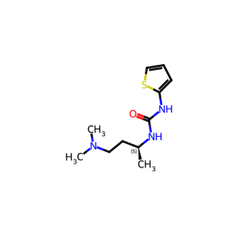 C[C@@H](CCN(C)C)NC(=O)Nc1cccs1